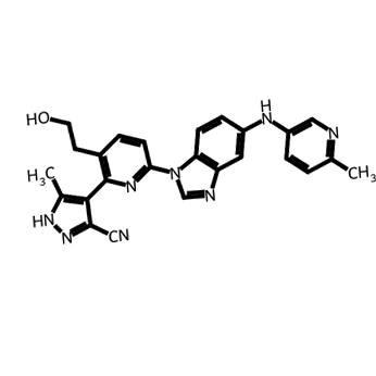 Cc1ccc(Nc2ccc3c(c2)ncn3-c2ccc(CCO)c(-c3c(C#N)n[nH]c3C)n2)cn1